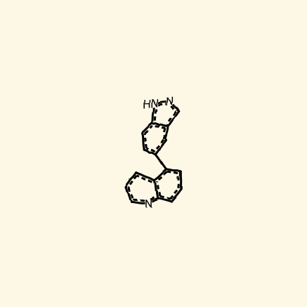 c1cc(-c2ccc3[nH]ncc3c2)c2cccnc2c1